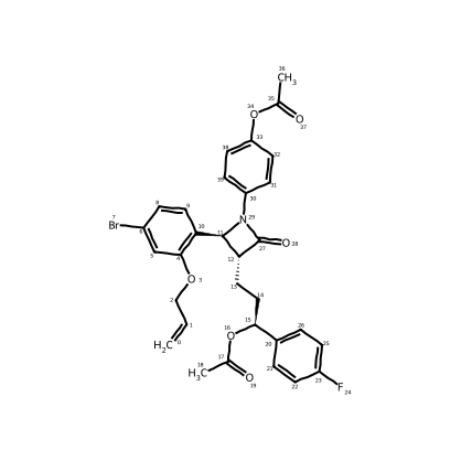 C=CCOc1cc(Br)ccc1[C@@H]1[C@@H](CC[C@H](OC(C)=O)c2ccc(F)cc2)C(=O)N1c1ccc(OC(C)=O)cc1